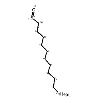 CCCCCCCCCCCCCCCCC[S+]=O